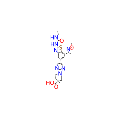 CCNC(=O)Nc1nc2cc(-c3cnc(N4CCC(C)(C(=O)O)CC4)nc3)cc(C(C)=NOC)c2s1